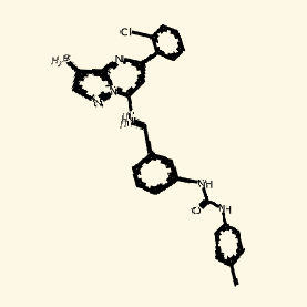 Bc1cnn2c(NCc3cccc(NC(=O)Nc4ccc(C)cc4)c3)cc(-c3ccccc3Cl)nc12